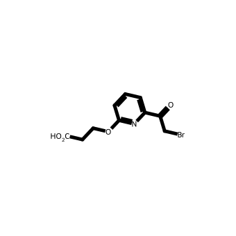 O=C(O)CCOc1cccc(C(=O)CBr)n1